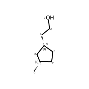 C[C@H]1CC[C@@H](CCO)C1